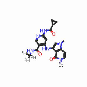 [2H]C([2H])([2H])NC(=O)c1cnc(NC(=O)C2CC2)cc1Nc1cn(C)c2ccn(CC)c(=O)c12